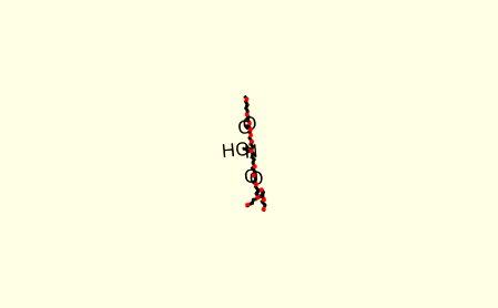 CCCCCCCCCOC(=O)CCCCCCCN(CCO)CCCCCCCC(=O)OCCCc1ccc(CCCCC)c(CCCCC)c1